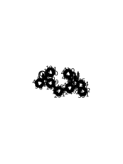 O=P(c1ccccc1)(c1ccccc1)c1ccc(-c2cccc(-c3ccc4c5c6ccccc6ccc5c5nc6ccccc6n5c4c3)c2)cc1